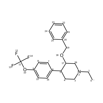 [CH2]CN1CCC(c2ccc(OC(F)(F)F)cc2)C(OCc2ccccc2)C1